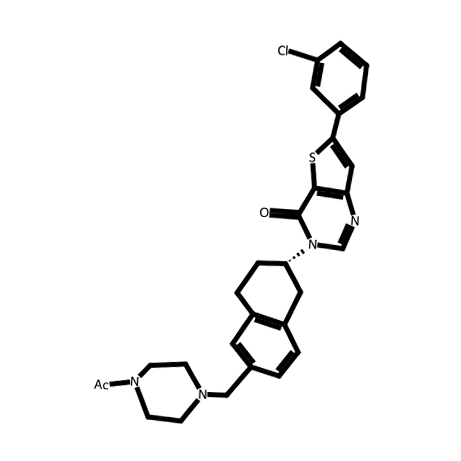 CC(=O)N1CCN(Cc2ccc3c(c2)CC[C@H](n2cnc4cc(-c5cccc(Cl)c5)sc4c2=O)C3)CC1